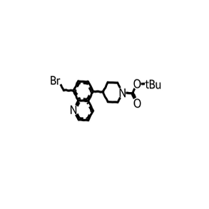 CC(C)(C)OC(=O)N1CCC(c2ccc(CBr)c3ncccc23)CC1